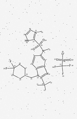 CN(c1ccc2c(c1)nc(C(C)(C)C)n2CC1CCC(F)(F)CC1)S(=O)(=O)c1[nH]cc[n+]1C.O=S(=O)([O-])C(F)(F)F